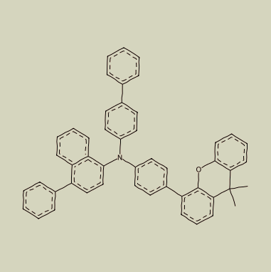 CC1(C)c2ccccc2Oc2c(-c3ccc(N(c4ccc(-c5ccccc5)cc4)c4ccc(-c5ccccc5)c5ccccc45)cc3)cccc21